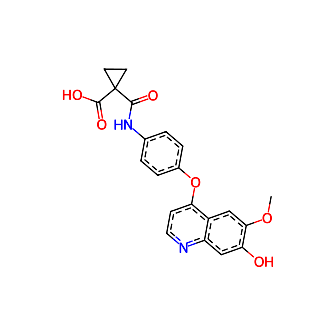 COc1cc2c(Oc3ccc(NC(=O)C4(C(=O)O)CC4)cc3)ccnc2cc1O